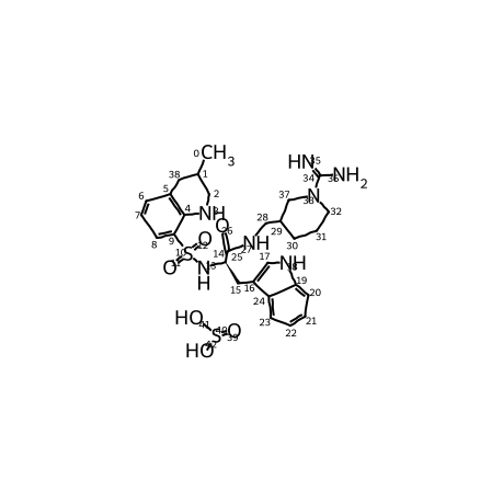 CC1CNc2c(cccc2S(=O)(=O)N[C@H](Cc2c[nH]c3ccccc23)C(=O)NCC2CCCN(C(=N)N)C2)C1.O=S(O)O